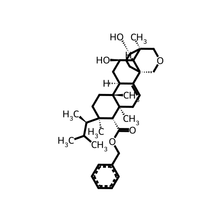 CC(C)[C@@H](C)[C@@]1(C)CC[C@]2(C)[C@H]3CC[C@@H]4[C@@]5(COC[C@]4(C)[C@@H](O)[C@H](O)C5)C3=CC[C@@]2(C)[C@@H]1C(=O)OCc1ccccc1